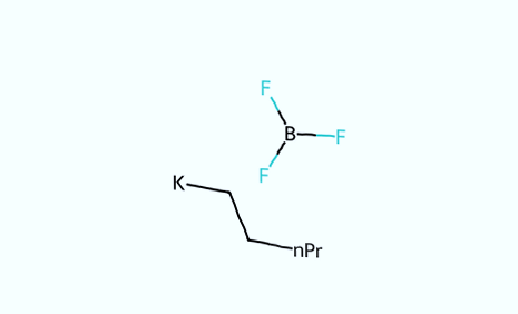 CCCC[CH2][K].FB(F)F